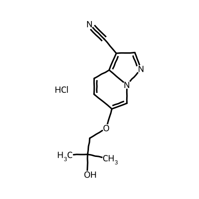 CC(C)(O)COc1ccc2c(C#N)cnn2c1.Cl